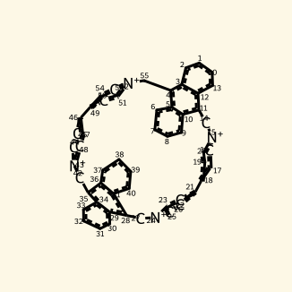 c1ccc2c3c4ccccc4c(c2c1)C[n+]1ccc(cc1)-c1cc[n+](cc1)Cc1c2ccccc2c(c2ccccc12)C[n+]1ccc(cc1)-c1cc[n+](cc1)C3